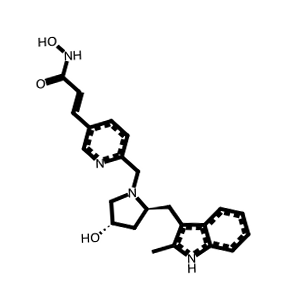 Cc1[nH]c2ccccc2c1C[C@H]1C[C@H](O)CN1Cc1ccc(/C=C/C(=O)NO)cn1